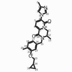 Cc1cn(-c2ccc3n(c2=O)CC(C)N(Cc2ccc(C)c(OCC4CC4)c2)C3=O)cn1